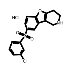 Cl.O=S(=O)(c1cccc(Cl)c1)c1ccc2oc3c(c2c1)CNCC3